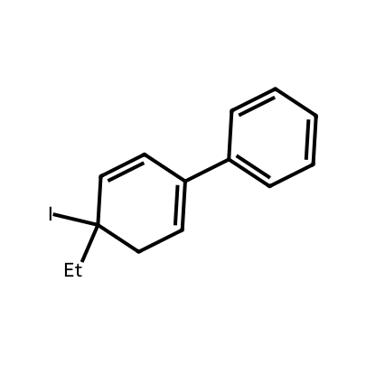 CCC1(I)C=CC(c2ccccc2)=CC1